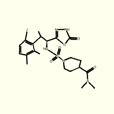 Cc1ccc(F)c(C(C)[C@H](NS(=O)(=O)N2CCC(C(=O)N(C)C)CC2)c2n[nH]c(=O)o2)c1C